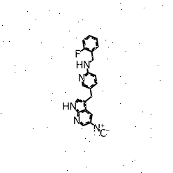 [C-]#[N+]c1cnc2[nH]cc(Cc3ccc(NCc4ccccc4F)nc3)c2c1